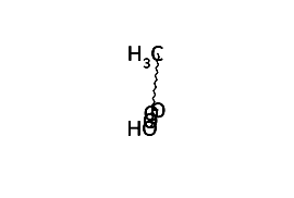 CCCCCCCCCCCCCCCC(=O)OCOCO